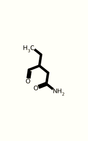 CCC(C=O)CC(N)=O